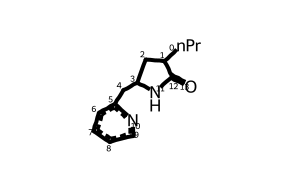 CCCC1CC(Cc2ccccn2)NC1=O